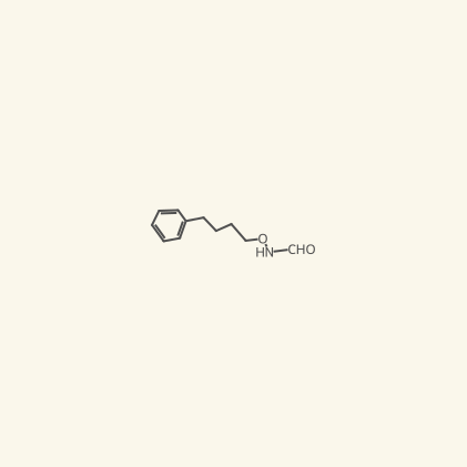 O=CNOCCCCc1ccccc1